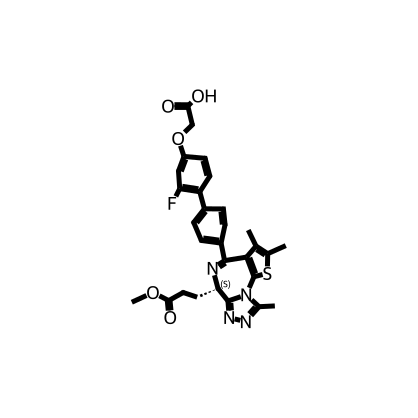 COC(=O)CC[C@@H]1N=C(c2ccc(-c3ccc(OCC(=O)O)cc3F)cc2)c2c(sc(C)c2C)-n2c(C)nnc21